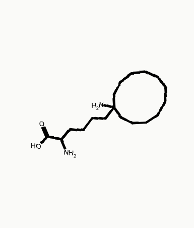 NC(CCCCC1(N)CCCCCCCCCCC1)C(=O)O